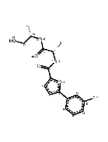 C[C@H](NC(=O)c1ccc(-c2cccc(F)c2)o1)C(=O)N[C@@H](C)CO